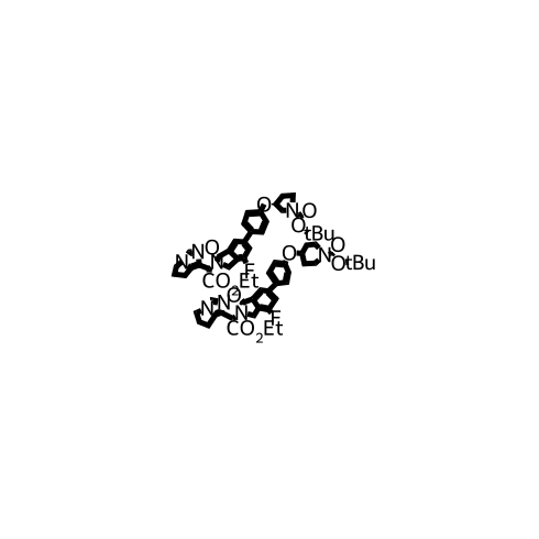 CCOC(=O)C(c1ncn2c1CCC2)N1Cc2c(F)cc(-c3ccc(OC4CCN(C(=O)OC(C)(C)C)CC4)cc3)cc2C1=O.CCOC(=O)C(c1ncn2c1CCC2)N1Cc2c(F)cc(-c3ccc(O[C@@H]4CCN(C(=O)OC(C)(C)C)C4)cc3)cc2C1=O